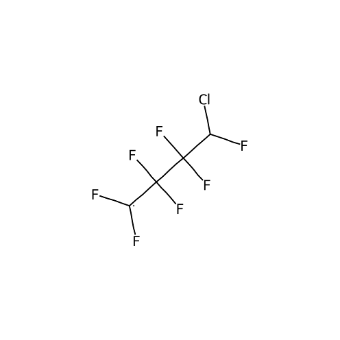 F[C](F)C(F)(F)C(F)(F)C(F)Cl